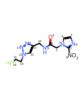 O=C(Cn1ccnc1[N+](=O)[O-])NCc1cn(CC[18F])nn1